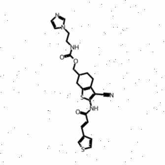 N#Cc1c(NC(=O)C=Cc2ccsc2)sc2c1CCC(COC(=O)NCCn1ccnc1)C2